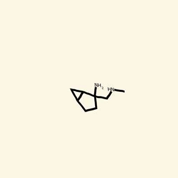 CNCC1(N)CCC2CC21